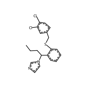 CCCC(c1ccccc1SCc1ccc(Cl)c(Cl)c1)n1ccnc1